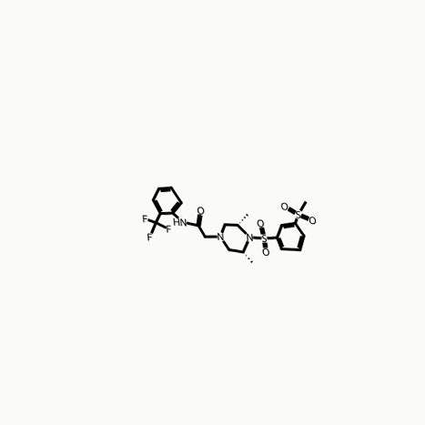 C[C@@H]1CN(CC(=O)Nc2ccccc2C(F)(F)F)C[C@H](C)N1S(=O)(=O)c1cccc(S(C)(=O)=O)c1